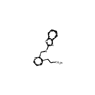 O=C(O)CCc1cccnc1CSc1nc2ccccc2o1